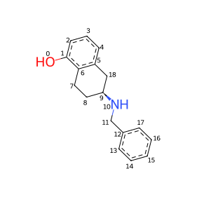 Oc1cccc2c1CC[C@H](NCc1ccccc1)C2